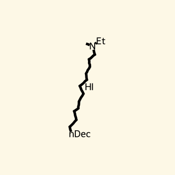 CCCCCCCCCCCCCCCCCCCCCCN(C)CC.I